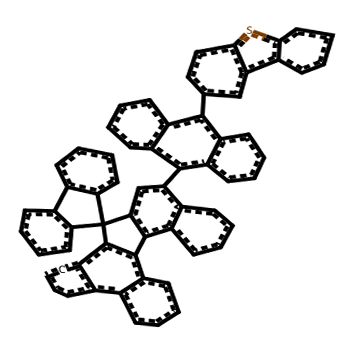 c1ccc2c(c1)-c1ccccc1C21c2cc(-c3c4ccccc4c(-c4ccc5sc6ccccc6c5c4)c4ccccc34)c3ccccc3c2-c2c1c1ccccc1c1ccccc21